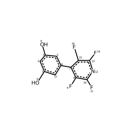 Oc1cc(O)cc(-c2c(F)c(F)nc(F)c2F)c1